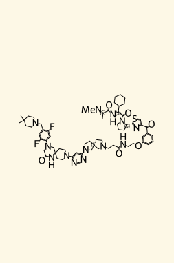 CN[C@@H](C)C(=O)N[C@H](C(=O)N1CCC[C@H]1c1nc(C(=O)c2cccc(OCCNC(=O)CCN3CC[C@]4(CCN(c5cc(N6CCC7(CC6)CN(c6cc(F)c(CN8CCC(C)(C)CC8)cc6F)CC(=O)N7)ncn5)C4)C3)c2)cs1)C1CCCCC1